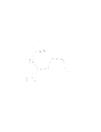 CC1Cc2ccnc(N)c2O1